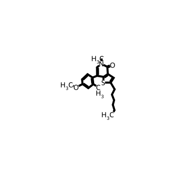 CCCCCCc1cc2c(=O)n(C)cc(-c3ccc(OC)cc3C)c2s1